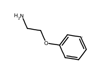 NCCOc1c[c]ccc1